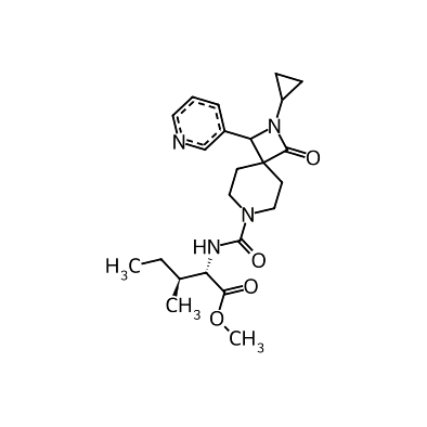 CC[C@H](C)[C@H](NC(=O)N1CCC2(CC1)C(=O)N(C1CC1)C2c1cccnc1)C(=O)OC